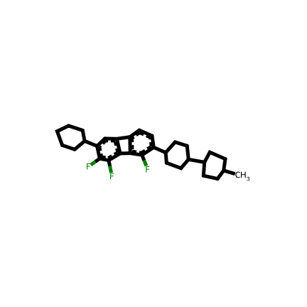 CC1CCC(C2CCC(c3ccc4c(c3F)-c3c-4cc(C4CCCCC4)c(F)c3F)CC2)CC1